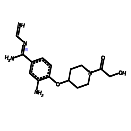 N=C/N=C(\N)c1ccc(OC2CCN(C(=O)CO)CC2)c(N)c1